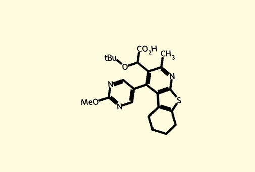 COc1ncc(-c2c(C(OC(C)(C)C)C(=O)O)c(C)nc3sc4c(c23)CCCC4)cn1